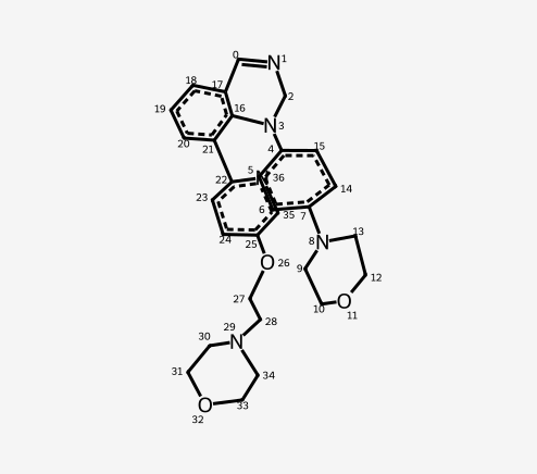 C1=NCN(c2ccc(N3CCOCC3)cc2)c2c1cccc2-c1ccc(OCCN2CCOCC2)cn1